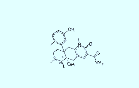 Cc1ccc(O)cc1C12CCN(C)[C@H](C)[C@]1(O)Cc1cc(C(N)=O)c(=O)n(C)c1C2